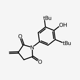 C=C1CC(=O)N(c2cc(C(C)(C)C)c(O)c(C(C)(C)C)c2)C1=O